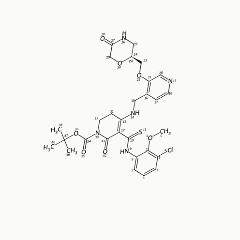 COc1c(Cl)cccc1NC(=S)C1=C(NCc2ccncc2OC[C@@H]2CNC(=O)CO2)CCN(C(=O)OC(C)(C)C)C1=O